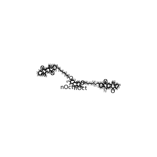 CCCCCCCCC1(CCCCCCCC)c2cc(C)c(OCCCCCCCCc3ccc4c(c3)c(=O)c3cc5c(cc3n4C)c(=O)c3ccccc3n5C)cc2-c2cc(OCCCCCCCCc3ccc4c(c3)c(=O)c3cc5c(cc3n4C)c(=O)c3ccccc3n5C)c(C)cc21